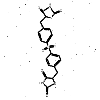 O=C1NC(=O)C(Cc2ccc(S(=O)(=O)c3ccc(CC4SC(=O)NC4=O)cc3)cc2)S1